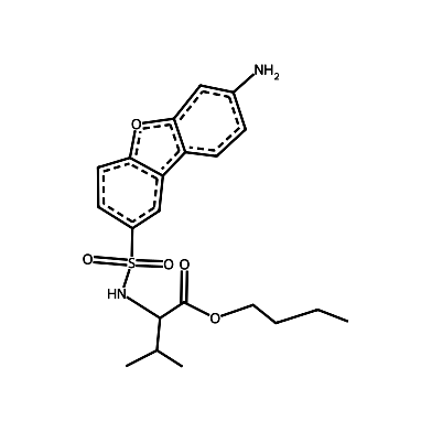 CCCCOC(=O)C(NS(=O)(=O)c1ccc2oc3cc(N)ccc3c2c1)C(C)C